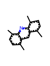 Cc1ccc(C)c2nc3c(C)ccc(C)c3cc12